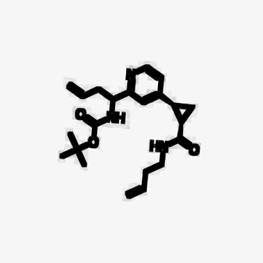 C=CCCNC(=O)[C@@H]1C[C@@H]1c1ccnc(C(CC=C)NC(=O)OC(C)(C)C)c1